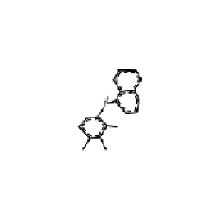 Cc1ccc(Pc2cccc3ccccc23)c(C)c1C